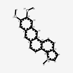 COc1cc2cc3ccc4c(ccc5ccn(C)c54)c3cc2cc1OC